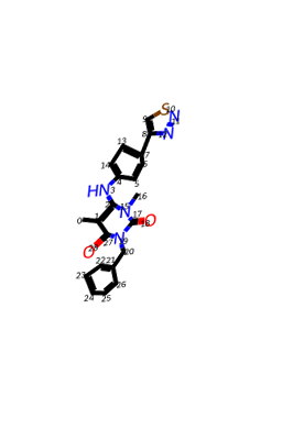 Cc1c(Nc2ccc(-c3csnn3)cc2)n(C)c(=O)n(Cc2ccccc2)c1=O